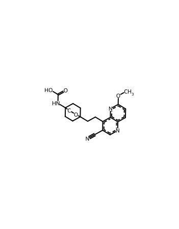 COc1ccc2ncc(C#N)c(CCC34CCC(NC(=O)O)(CC3)CO4)c2n1